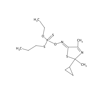 CCCSP(=S)(OCC)ON=C1SC(C)(C2CC2)N=C1C